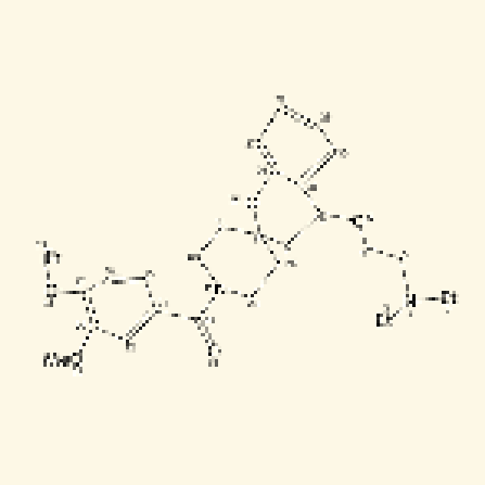 CCN(CC)CCOC1CC2(CCN(C(=O)c3ccc(OC(C)C)c(OC)c3)CC2)Oc2ccccc21